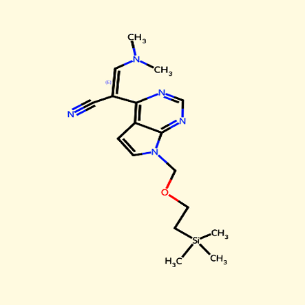 CN(C)/C=C(/C#N)c1ncnc2c1ccn2COCC[Si](C)(C)C